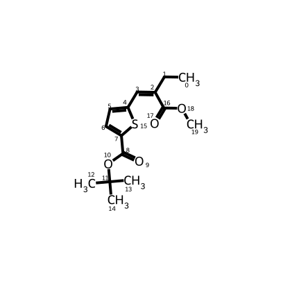 CCC(=Cc1ccc(C(=O)OC(C)(C)C)s1)C(=O)OC